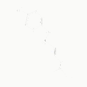 CN(C)C/C=C/C(=O)Nc1ccc(C=O)cc1